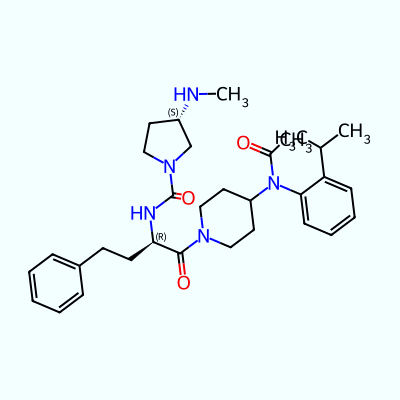 CN[C@H]1CCN(C(=O)N[C@H](CCc2ccccc2)C(=O)N2CCC(N(C(C)=O)c3ccccc3C(C)C)CC2)C1